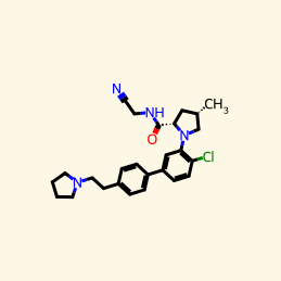 C[C@H]1C[C@@H](C(=O)NCC#N)N(c2cc(-c3ccc(CCN4CCCC4)cc3)ccc2Cl)C1